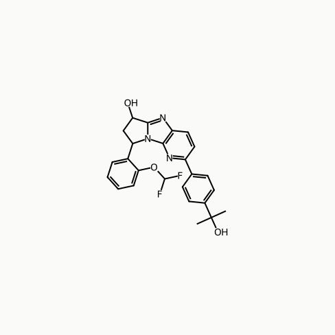 CC(C)(O)c1ccc(-c2ccc3nc4n(c3n2)C(c2ccccc2OC(F)F)CC4O)cc1